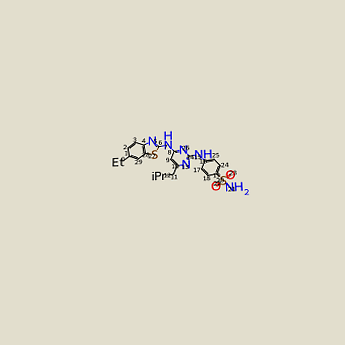 CCc1ccc2nc(Nc3cc(CC(C)C)nc(Nc4ccc(S(N)(=O)=O)cc4)n3)sc2c1